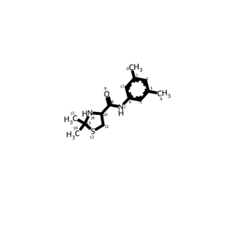 Cc1cc(C)cc(NC(=O)C2CSC(C)(C)N2)c1